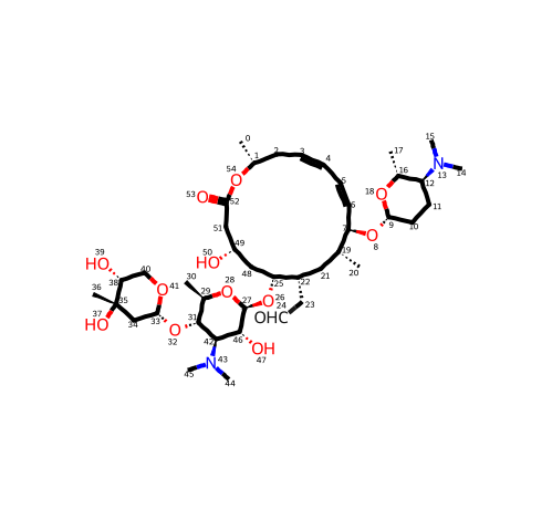 C[C@@H]1C/C=C\C=C/[C@@H](O[C@H]2CC[C@H](N(C)C)[C@@H](C)O2)[C@H](C)C[C@H](CC=O)[C@H](O[C@@H]2O[C@H](C)[C@@H](O[C@@H]3C[C@](C)(O)[C@H](O)CO3)[C@H](N(C)C)[C@H]2O)C[C@H](O)CC(=O)O1